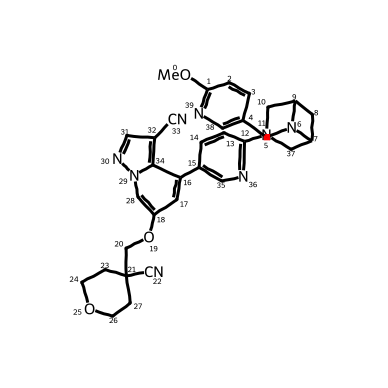 COc1ccc(CN2C3CC2CN(c2ccc(-c4cc(OCC5(C#N)CCOCC5)cn5ncc(C#N)c45)cn2)C3)cn1